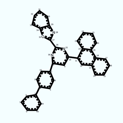 c1ccc(-c2ccc(-c3cc(-c4cc5ccccc5c5ccccc45)nc(-c4nc5ccccc5o4)n3)cc2)cc1